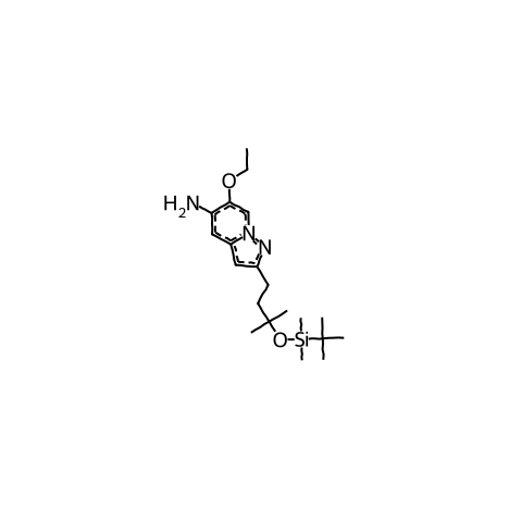 CCOc1cn2nc(CCC(C)(C)O[Si](C)(C)C(C)(C)C)cc2cc1N